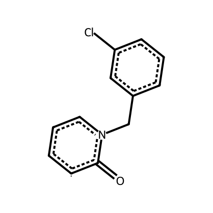 O=c1[c]cccn1Cc1cccc(Cl)c1